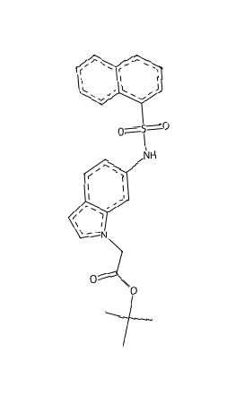 CC(C)(C)OC(=O)Cn1ccc2ccc(NS(=O)(=O)c3cccc4ccccc34)cc21